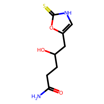 NC(=O)CCC(O)Cc1c[nH]c(=S)o1